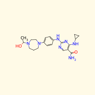 CC(O)N1CCCN(c2ccc(Nc3ncc(C(N)=O)c(NC4CC4)n3)cc2)CC1